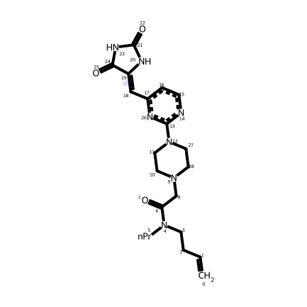 C=CCCN(CCC)C(=O)CN1CCN(c2nccc(/C=C3\NC(=O)NC3=O)n2)CC1